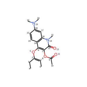 CC=C(CC)Oc1c(OC(C)=O)c(=O)n(C)c2cc(N(C)C)ccc12